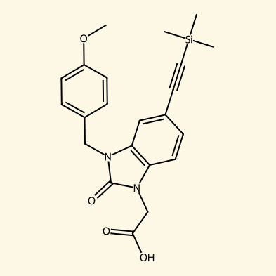 COc1ccc(Cn2c(=O)n(CC(=O)O)c3ccc(C#C[Si](C)(C)C)cc32)cc1